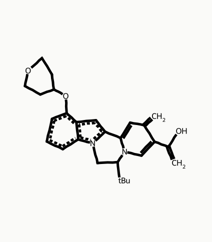 C=C(O)C1=CN2C(=CC1=C)c1cc3c(OC4CCOCC4)cccc3n1CC2C(C)(C)C